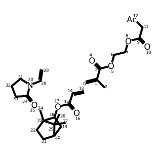 C=C(C)C(=O)OCCOC(=O)CC(C)=O.C=CC(=O)OC1CC2CCC1(C)C2(C)C.C=CN1CCCC1=O